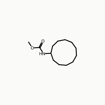 COC(=O)NC1CCCCCCCCCC1